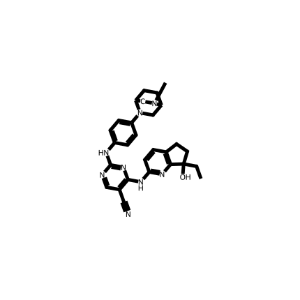 CCC1(O)CCc2ccc(Nc3nc(Nc4ccc(N5CC6CCC5CN6C)cc4)ncc3C#N)nc21